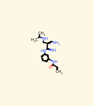 C=CC(=O)Nc1cccc(NC(=N)/C(=C\N)CNC(C)C)c1